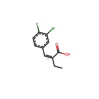 CC/C(=C/c1ccc(F)c(Br)c1)C(=O)O